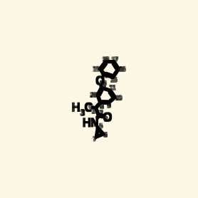 CC(C(=O)NC1CC1)c1cccc(Oc2ccccc2)c1